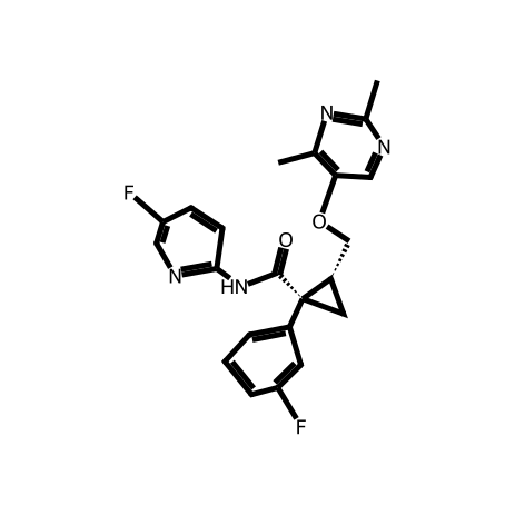 Cc1ncc(OC[C@@H]2C[C@@]2(C(=O)Nc2ccc(F)cn2)c2cccc(F)c2)c(C)n1